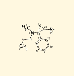 CCCN(C)C1(c2ccccc2)CC1Br